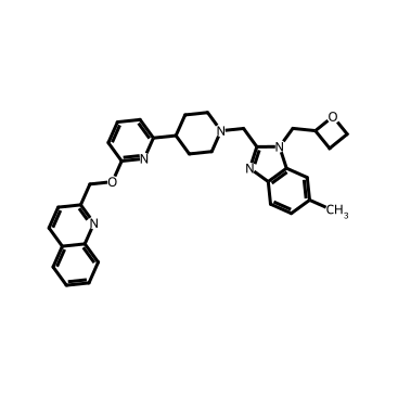 Cc1ccc2nc(CN3CCC(c4cccc(OCc5ccc6ccccc6n5)n4)CC3)n(CC3CCO3)c2c1